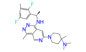 Cc1cc(F)cc([C@@H](C)Nc2nnc(C)c3cnc(N4CCC(C)(N(C)C)CC4)cc23)c1F